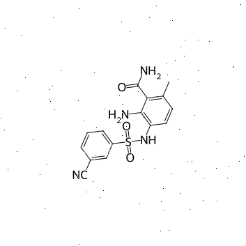 Cc1ccc(NS(=O)(=O)c2cccc(C#N)c2)c(N)c1C(N)=O